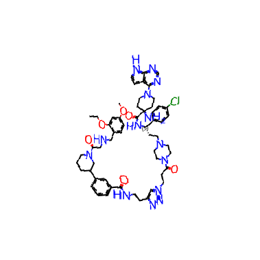 CCOc1cc(OC)ccc1CNCC(=O)N1CCCC(c2cccc(C(=O)NCCc3cn(CCC(=O)N4CCN(CC[C@H](NC(=O)C5(N)CCN(c6ncnc7[nH]ccc67)CC5)c5ccc(Cl)cc5)CC4)nn3)c2)C1